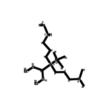 CCCCNCCC[Si](CCCN(C)C)(C(OCC)OCC)[Si](C)(C)C